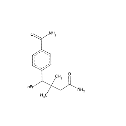 [CH2]CCC(c1ccc(C(N)=O)cc1)C(C)(C)CC(N)=O